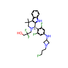 CC1(C)CN(CC(F)(F)CO)[C@H](c2c(F)cc(NC3CN(CCCF)C3)cc2F)c2[nH]c3ccccc3c21